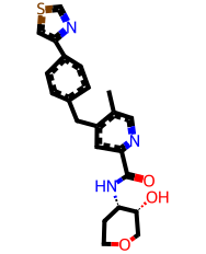 Cc1cnc(C(=O)N[C@H]2CCOC[C@H]2O)cc1Cc1ccc(-c2cscn2)cc1